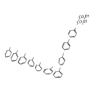 CCOC(C)=O.CCOC(C)=O.Cc1ccccc1.Cc1ccccc1.Cc1ccccc1.Cc1ccccc1.Cc1ccccc1.Cc1ccccc1.Cc1ccccc1.Cc1ccccc1.Cc1ccccc1.Cc1ccccc1